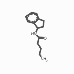 CCCCC(=O)NC1C[CH]c2ccccc21